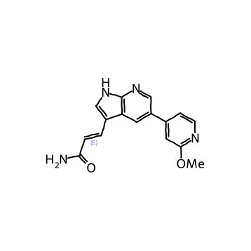 COc1cc(-c2cnc3[nH]cc(/C=C/C(N)=O)c3c2)ccn1